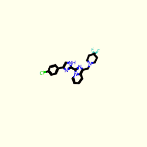 FC1(F)CCN(Cc2nc(-c3nc(-c4ccc(Cl)cc4)c[nH]3)n3ccccc23)CC1